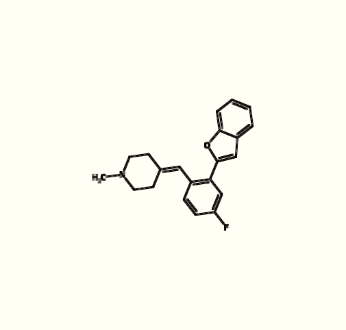 CN1CCC(=Cc2ccc(F)cc2-c2cc3ccccc3o2)CC1